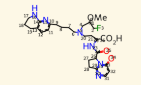 CO[C@H](CF)CN(CCCCc1ccc2c(n1)NCCC2)CC[C@H](NC(=O)C1CCc2nccc(=O)n21)C(=O)O